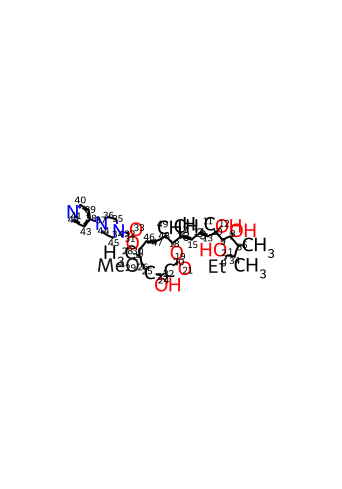 CCC(O)C(C)C(C)C(O)CC(C)(O)/C=C/C=C(\C)C1OC(=O)CC(O)CCC(C)(OC)C(OC(=O)N2CCN(c3ccncc3)CC2)/C=C/C1C